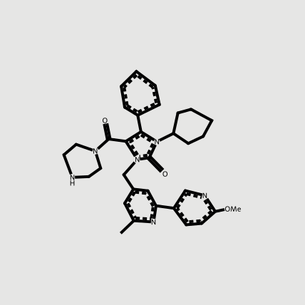 COc1ccc(-c2cc(Cn3c(C(=O)N4CCNCC4)c(-c4ccccc4)n(C4CCCCC4)c3=O)cc(C)n2)cn1